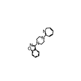 C1=CCN=C(N2CCN(c3noc4ccccc34)CC2)C=C1